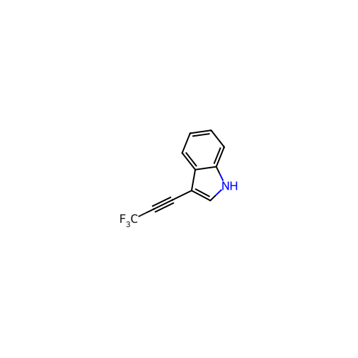 FC(F)(F)C#Cc1c[nH]c2ccccc12